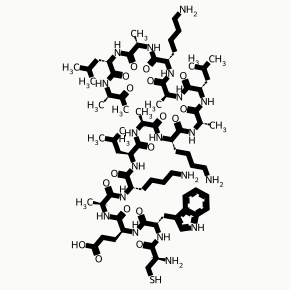 CC(=O)[C@H](C)NC(=O)[C@H](CC(C)C)NC(=O)[C@H](C)NC(=O)[C@H](CCCCN)NC(=O)[C@H](C)NC(=O)[C@H](CC(C)C)NC(=O)[C@H](C)NC(=O)[C@H](CCCCN)NC(=O)[C@H](C)NC(=O)[C@H](CC(C)C)NC(=O)[C@H](CCCCN)NC(=O)[C@H](C)NC(=O)[C@H](CCC(=O)O)NC(=O)[C@H](Cc1c[nH]c2ccccc12)NC(=O)[C@@H](N)CS